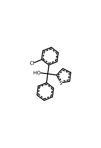 OC(c1ccccc1)(c1cccs1)c1ccccc1Cl